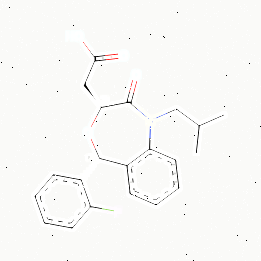 CC(C)CN1C(=O)[C@H](CC(=O)O)O[C@@H](c2ccccc2F)c2ccccc21